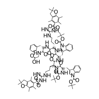 Cc1c(C)c(S(=O)(=O)NC(=N)NCCC[C@H](NC(=O)[C@H](Cc2cn(C(=O)OC(C)(C)C)c3ccccc23)NC(=O)OC(C)(C)C)C(=O)N[C@@H](Cc2cn(C(=O)OC(C)(C)C)c3ccccc23)C(=O)N[C@@H](CCCNC(=N)NS(=O)(=O)c2c(C)c(C)c3c(c2C)CC(C)(C)O3)C(=O)N[C@@H](Cc2ccccc2)C(=O)NCC(=O)O)c(C)c2c1OC(C)(C)C2